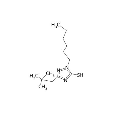 CCCCCCn1nc(CC(C)(C)C)nc1S